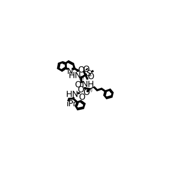 CC(C)CC(NC(=O)OC1(NC(=O)[C@@H](NC(=O)c2ccc3ccccc3n2)C(C)(C)S(C)(=O)=O)O[C@@H]1CCCc1ccccc1)c1ccccc1